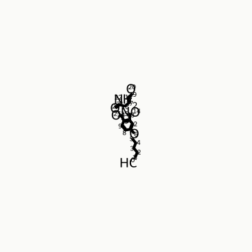 C#CCCCCOc1ccc2c(c1)C(=O)N(C(CCC=O)C(N)=O)C2=O